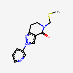 O=C1c2cn(-c3cccnc3)nc2CCN1CSC(F)(F)F